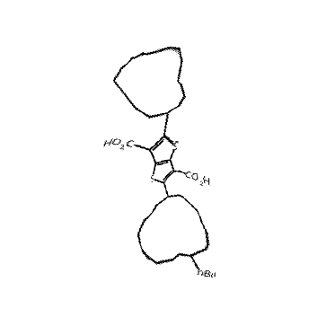 CCCCC1CCCCCCC(c2sc3c(C(=O)O)c(C4CCCCCCCCCCC4)sc3c2C(=O)O)CCCC1